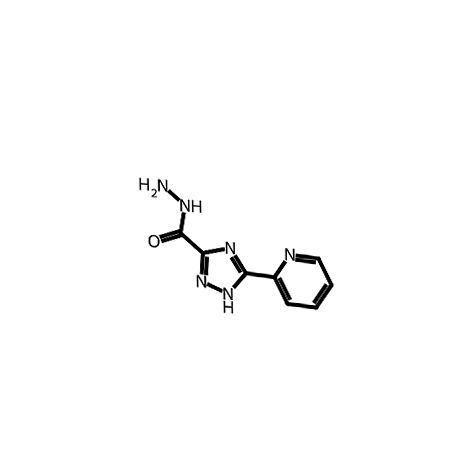 NNC(=O)c1n[nH]c(-c2ccccn2)n1